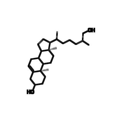 CC(CO)CCCC(C)C1CCC2C3CC=C4CC(O)CC[C@]4(C)C3CC[C@]12C